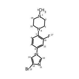 CN1CCN(c2ccc(-n3cnc(Br)c3)cc2F)CC1